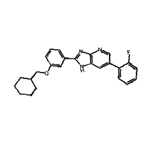 Fc1ccccc1-c1cnc2nc(-c3cccc(OCC4CCCCC4)c3)[nH]c2c1